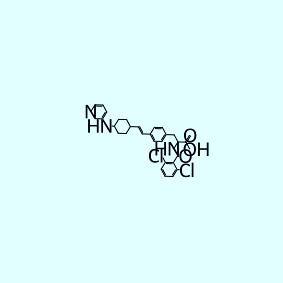 O=C(NC(Cc1ccc(C=CC2CCC(Nc3cccnc3)CC2)cc1)C(=O)O)c1c(Cl)cccc1Cl